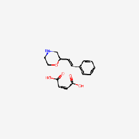 C(=C\C1CNCCO1)/c1ccccc1.O=C(O)/C=C\C(=O)O